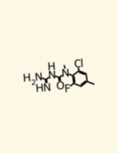 Cc1cc(F)c(N(C)C(=O)NC(=N)N)c(Cl)c1